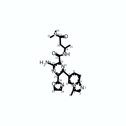 Cc1cnc2ccc(-c3nc(C(=O)NC(C)CC(=O)N(C)C)c(N)nc3-c3ncco3)cn12